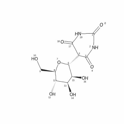 O=C1NC(=O)C([C@H]2O[C@H](CO)[C@@H](O)[C@H](O)[C@@H]2O)C(=O)N1